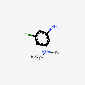 CCOC(=O)NC(C)(C)C.Nc1cccc(Cl)c1